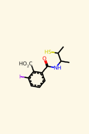 CC(S)C(C)NC(=O)c1cccc(I)c1C(=O)O